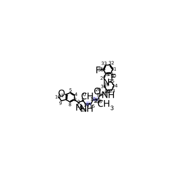 C=c1c(-c2ccc3c(c2)CCO3)n[nH]/c1=C/C=C(\C)C(=O)N[C@@H]1CCCN(Cc2c(F)cccc2F)C1